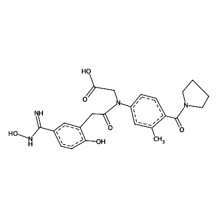 Cc1cc(N(CC(=O)O)C(=O)Cc2cc(C(=N)NO)ccc2O)ccc1C(=O)N1CCCC1